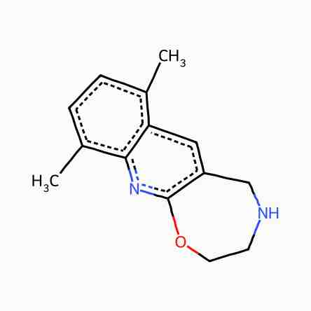 Cc1ccc(C)c2nc3c(cc12)CNCCO3